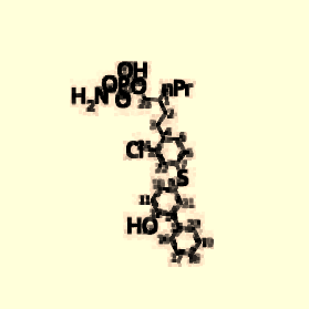 CCCC(CCc1ccc(Sc2ccc(O)c(-c3ccccc3)c2)cc1Cl)COP(=O)(O)ON